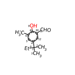 CCC(C)(C)c1cc(C)c(O)c(C=O)c1